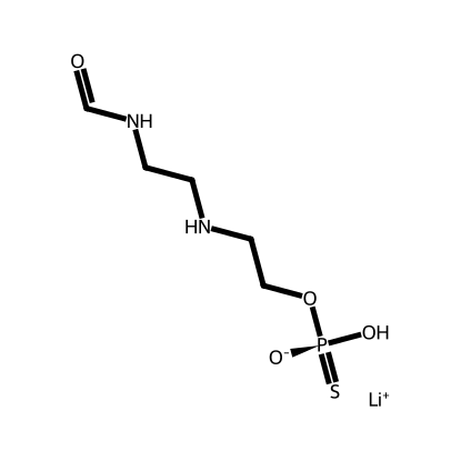 O=CNCCNCCO[P@]([O-])(O)=S.[Li+]